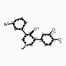 Cn1cc(-c2cccc(Br)c2)c(=O)c(-c2ccc(Cl)c(Cl)c2)c1